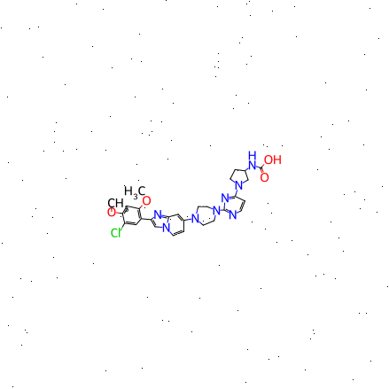 COc1cc(OC)c(-c2cn3ccc(N4CCN(c5nccc(N6CCC(NC(=O)O)C6)n5)CC4)cc3n2)cc1Cl